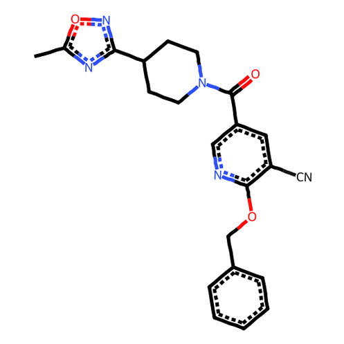 Cc1nc(C2CCN(C(=O)c3cnc(OCc4ccccc4)c(C#N)c3)CC2)no1